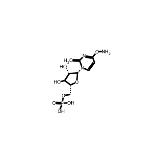 C=C1N=C(ON)C=CN1[C@@H]1O[C@H](COP(=O)(O)O)C(O)[C@@H]1O